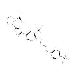 N=C(N)N1CCCC1c1nc(-c2ccc(OCCCc3ccc(C(F)(F)F)cc3)c(C(F)(F)F)c2)no1